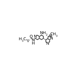 C[C@@H]1C[C@H]1C(=O)Nc1cc2cc(-c3cncc4nn(C)cc34)cc(N)c2cn1